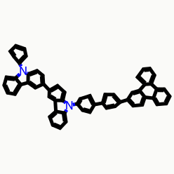 c1ccc(-n2c3ccccc3c3cc(-c4ccc5c(c4)c4ccccc4n5-c4ccc(-c5ccc(-c6ccc7c8ccccc8c8ccccc8c7c6)cc5)cc4)ccc32)cc1